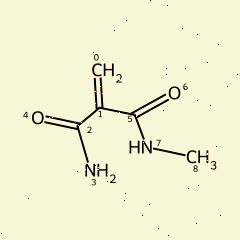 C=C(C(N)=O)C(=O)NC